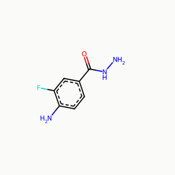 NNC(=O)c1ccc(N)c(F)c1